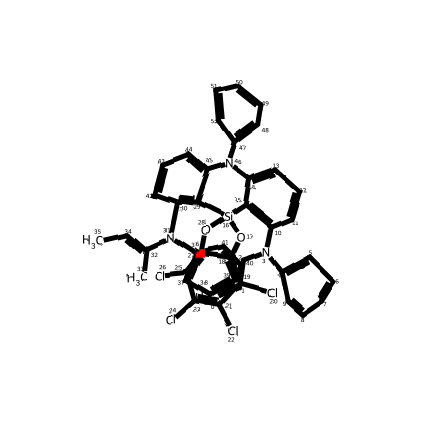 C=CCN(c1ccccc1)c1cccc2c1[Si]1(Oc3c(Cl)c(Cl)c(Cl)c(Cl)c3O1)c1c(N(/C(C)=C/C)c3ccccc3)cccc1N2c1ccccc1